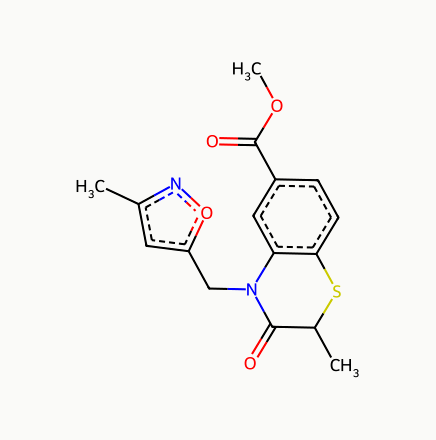 COC(=O)c1ccc2c(c1)N(Cc1cc(C)no1)C(=O)C(C)S2